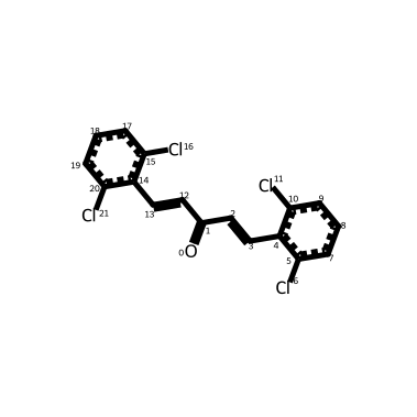 O=C(C=Cc1c(Cl)cccc1Cl)C=Cc1c(Cl)cccc1Cl